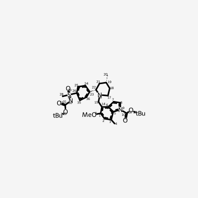 COc1cc(C)c2c(ccn2C(=O)OC(C)(C)C)c1CN1CC[C@@H](C)C[C@H]1c1ccc(S(C)(=O)=NC(=O)OC(C)(C)C)cc1